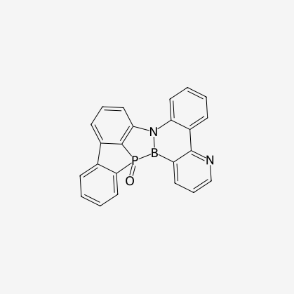 O=P12B3c4cccnc4-c4ccccc4N3c3cccc(c31)-c1ccccc12